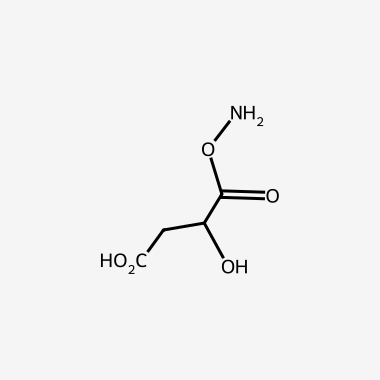 NOC(=O)C(O)CC(=O)O